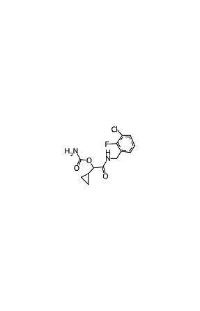 NC(=O)OC(C(=O)NCc1cccc(Cl)c1F)C1CC1